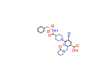 N#Cc1cc(C(=O)O)c(CN2CCCC2=O)nc1N1CCC(C(=O)NS(=O)(=O)Cc2ccccc2)CC1